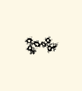 FC(F)(F)c1cccc(N(c2ccccc2)c2ccc(-c3ccc(N(c4ccccc4)c4cccc(C(F)(F)F)c4)cc3)cc2)c1